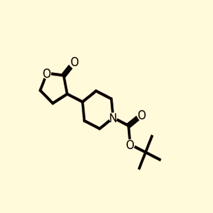 CC(C)(C)OC(=O)N1CCC(C2CCOC2=O)CC1